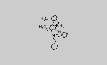 CCc1cccc(CC)c1-c1cc(OC)c(CN(CCc2ccccc2)CCC2CCCCC2)c(C)n1